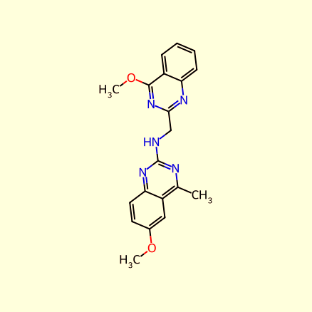 COc1ccc2nc(NCc3nc(OC)c4ccccc4n3)nc(C)c2c1